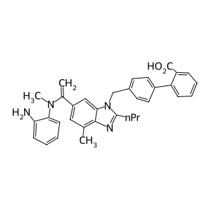 C=C(c1cc(C)c2nc(CCC)n(Cc3ccc(-c4ccccc4C(=O)O)cc3)c2c1)N(C)c1ccccc1N